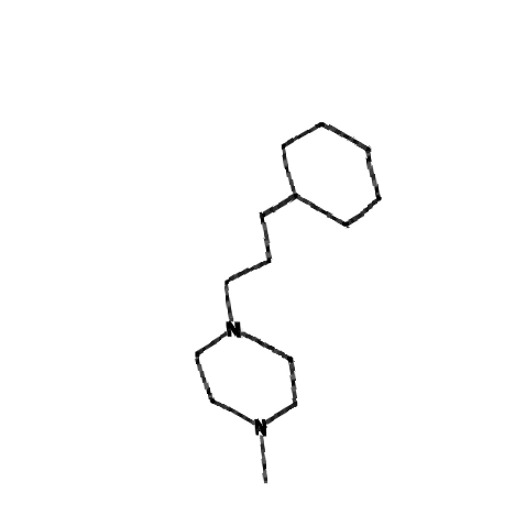 CN1CCN(CCCC2CCCCC2)CC1